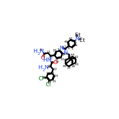 [CH2]CN(C[CH2])c1ccc(-c2nc3cc(C(CC(N)=O)NC(=O)[C@@H](N)Cc4ccc(Cl)c(Cl)c4)ccc3n2CC23CC4CC(CC(C4)C2)C3)cc1